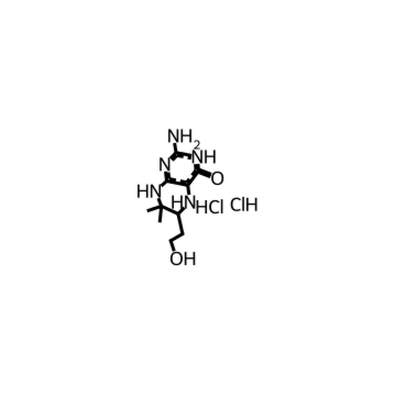 CC1(C)Nc2nc(N)[nH]c(=O)c2NC1CCO.Cl.Cl